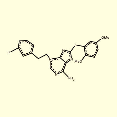 COc1ccc(OC)c(Sc2nc3c(N)ncn(CCc4cccc(Br)c4)c-3n2)c1